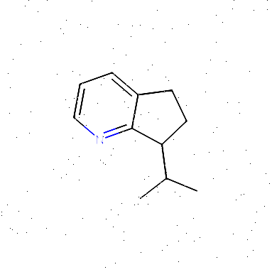 CC(C)C1CCc2cccnc21